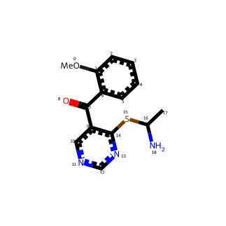 COc1ccccc1C(=O)c1cncnc1SC(C)N